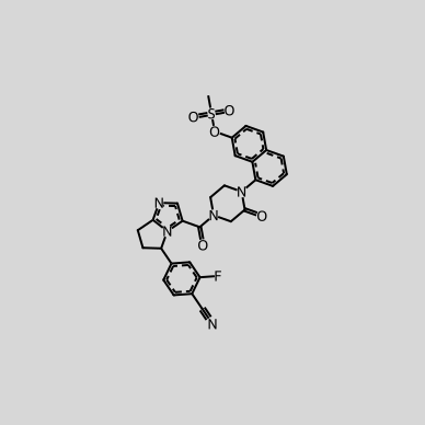 CS(=O)(=O)Oc1ccc2cccc(N3CCN(C(=O)c4cnc5n4C(c4ccc(C#N)c(F)c4)CC5)CC3=O)c2c1